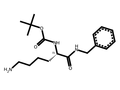 CC(C)(C)OC(=O)N[C@@H](CCCCN)C(=O)NCc1ccccc1